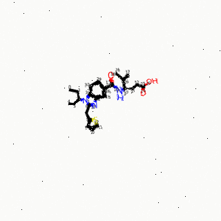 CCC(CC)n1c(Cc2cccs2)nc2cc(C(=O)N[C@H](CCC(=O)O)C(C)C)ccc21